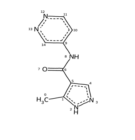 Cc1[nH]ncc1C(=O)Nc1ccnnc1